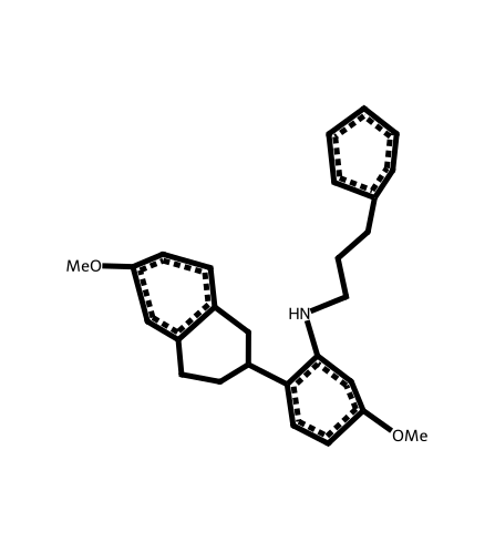 COc1ccc2c(c1)CCC(c1ccc(OC)cc1NCCCc1ccccc1)C2